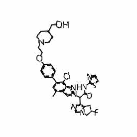 Cc1cc(-c2ccc(OCCN3CCC(CO)CC3)cc2)c(Cl)c2nn(C(C(=O)Nc3nccs3)c3ncn4c3C[C@@H](F)C4)cc12